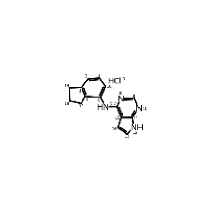 Cl.c1cc2c(c(Nc3ncnc4[nH]ccc34)c1)CCC2